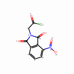 O=C(Cl)CN1C(=O)c2cccc([N+](=O)[O-])c2C1=O